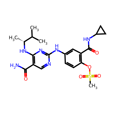 CC(C)[C@@H](C)Nc1nc(Nc2ccc(OS(C)(=O)=O)c(C(=O)NC3CC3)c2)ncc1C(N)=O